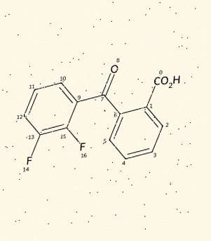 O=C(O)c1ccccc1C(=O)c1cccc(F)c1F